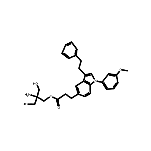 COc1cccc(-n2cc(CCc3ccccc3)c3cc(CCC(=O)OCC(N)(CO)CO)ccc32)c1